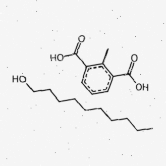 CCCCCCCCCCO.Cc1c(C(=O)O)cccc1C(=O)O